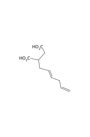 C=CC/C=C/CC(CC(=O)O)C(=O)O